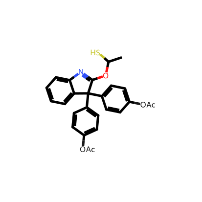 CC(=O)Oc1ccc(C2(c3ccc(OC(C)=O)cc3)C(OC(C)S)=Nc3ccccc32)cc1